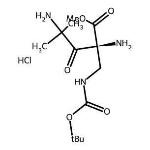 COC(=O)[C@](N)(CNC(=O)OC(C)(C)C)C(=O)C(C)(C)N.Cl